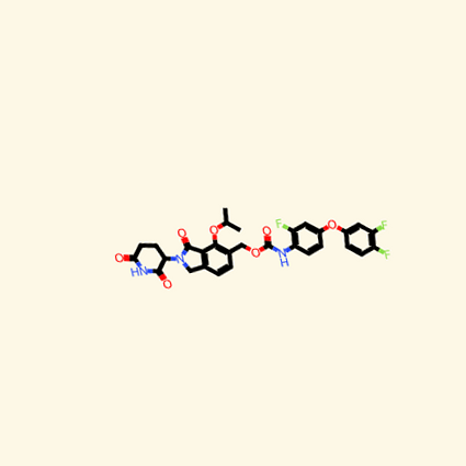 CC(C)Oc1c(COC(=O)Nc2ccc(Oc3ccc(F)c(F)c3)cc2F)ccc2c1C(=O)N(C1CCC(=O)NC1=O)C2